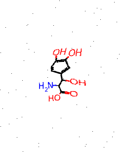 N[C@H](C(=O)O)C(O)c1ccc(O)c(O)c1